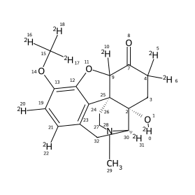 [2H]O[C@@]12CC([2H])([2H])C(=O)C3([2H])Oc4c(OC([2H])([2H])[2H])c([2H])c([2H])c5c4[C@@]31CCN(C)[C@]2([2H])C5